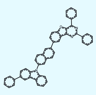 c1ccc(-c2ccc3c(c2)c2ccccc2n3-c2ccc3cc(-c4ccc5oc6c(-c7ccccc7)nc(-c7ccccc7)nc6c5c4)ccc3c2)cc1